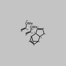 C1=CC2C3C=CC(C3)C2C1.C=COC.C=COC